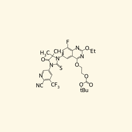 CCOc1nc(OCCOC(=O)OC(C)(C)C)c2cc(N3C(=S)N(c4cnc(C#N)c(C(F)(F)F)c4)C(=O)C3(C)C)cc(F)c2n1